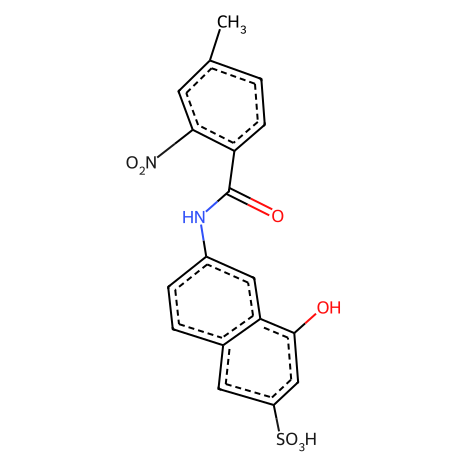 Cc1ccc(C(=O)Nc2ccc3cc(S(=O)(=O)O)cc(O)c3c2)c([N+](=O)[O-])c1